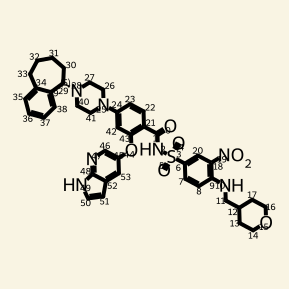 O=C(NS(=O)(=O)c1ccc(NCC2CCOCC2)c([N+](=O)[O-])c1)c1ccc(N2CCN([C@H]3CCCCc4ccccc43)CC2)cc1Oc1cnc2[nH]ccc2c1